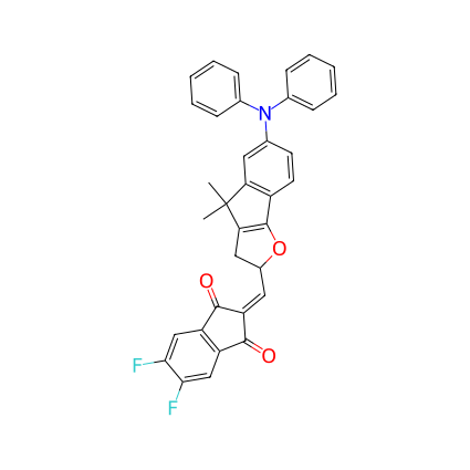 CC1(C)C2=C(OC(C=C3C(=O)c4cc(F)c(F)cc4C3=O)C2)c2ccc(N(c3ccccc3)c3ccccc3)cc21